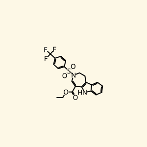 CCOC(=O)C1=CN(S(=O)(=O)c2ccc(C(F)(F)F)cc2)CCc2c1[nH]c1ccccc21